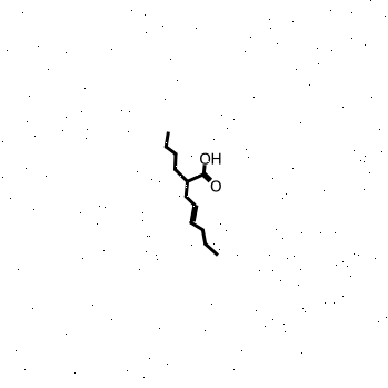 CCCC=CCC(CCCC)C(=O)O